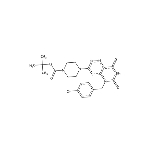 CC(C)(C)OC(=O)N1CCN(c2cc3c(nn2)c(=S)[nH]c(=O)n3Cc2ccc(Cl)cc2)CC1